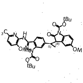 COc1ccc2c(c1)[C@]1(C[C@H]1c1ccc3c(Nc4nc(C)ccc4OC)nn(C(=O)OC(C)(C)C)c3c1)C(=O)N2C(=O)OC(C)(C)C